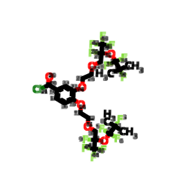 CC(C)(F)C(F)(F)OC(F)(COCCOc1ccc(C(=O)Cl)cc1OCCOCC(F)(OC(F)(F)C(C)(C)F)C(F)(F)F)C(F)(F)F